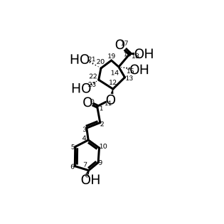 O=C(/C=C/c1ccc(O)cc1)O[C@@H]1C[C@](O)(C(=O)O)C[C@@H](O)[C@H]1O